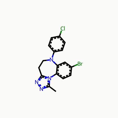 Cc1nnc2n1-c1ccc(Br)cc1N(c1ccc(Cl)cc1)CC2